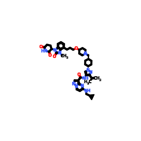 C=C(C)c1nn([C@H]2CC[C@H](CN3CCC(OCCCc4cccc5c4n(C)c(=O)n5C4CCC(=O)NC4=O)CC3)CC2)cc1NC(=O)c1cnn2ccc(NCC3CC3)nc12